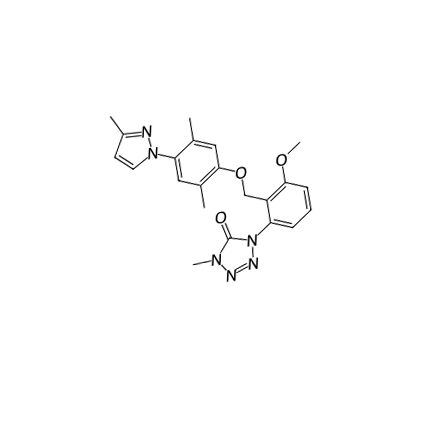 COc1cccc(-n2nnn(C)c2=O)c1COc1cc(C)c(-n2ccc(C)n2)cc1C